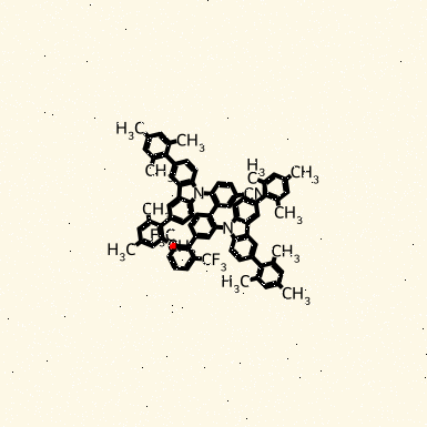 Cc1cc(C)c(-c2ccc3c(c2)c2cc(-c4c(C)cc(C)cc4C)ccc2n3-c2ccc(C#N)cc2-c2ccc(-c3c(C(F)(F)F)cccc3C(F)(F)F)cc2-n2c3ccc(-c4c(C)cc(C)cc4C)cc3c3cc(-c4c(C)cc(C)cc4C)ccc32)c(C)c1